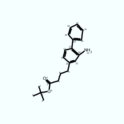 CC(C)(C)OC(=O)CCCc1ccc(-c2ccccc2)c(N)c1